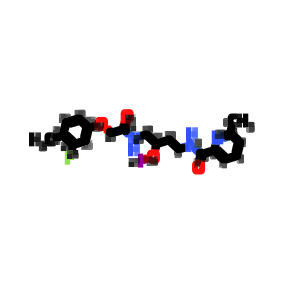 Cc1cccc(C(=O)NCCC(CNC(=O)COc2ccc(C)c(F)c2)OI)n1